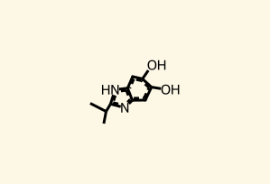 CC(C)c1nc2cc(O)c(O)cc2[nH]1